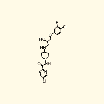 O=C(NN1CCC(NCC(O)COc2ccc(Cl)c(F)c2)CC1)c1ccc(Cl)cn1